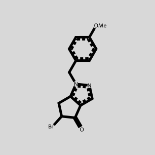 COc1ccc(Cn2ncc3c2CC(Br)C3=O)cc1